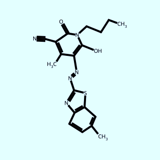 CCCCn1c(O)c(N=Nc2nc3ccc(C)cc3s2)c(C)c(C#N)c1=O